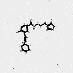 Cc1ccc(C(=O)NCCCC2=CCN=C2)cc1C#Cc1ccccc1